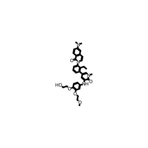 CCc1c(-c2cc(Nc3ccc(OCCO)c(OCCOC)c3)c(=O)n(C)c2)cccc1-n1ccc2cc(N(C)C)ccc2c1=O